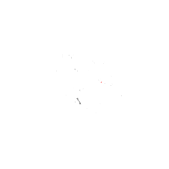 NN1c2ccccc2C2(c3ccccc3Oc3ccccc32)C2C=CC=CC21